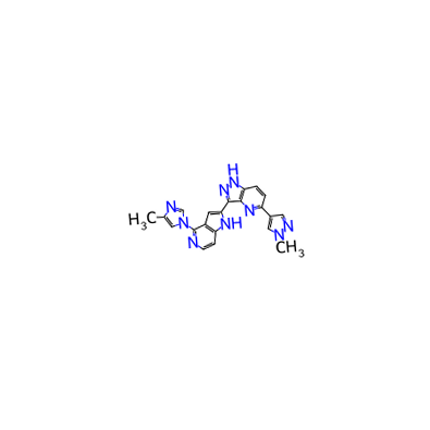 Cc1cn(-c2nccc3[nH]c(-c4n[nH]c5ccc(-c6cnn(C)c6)nc45)cc23)cn1